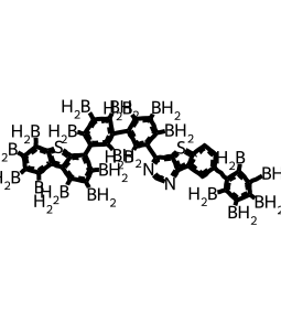 Bc1c(B)c(B)c(-c2ccc3sc4c(-c5c(B)c(B)c(B)c(-c6c(B)c(B)c(B)c(-c7c(B)c(B)c(B)c8c7sc7c(B)c(B)c(B)c(B)c78)c6B)c5B)ncnc4c3c2)c(B)c1B